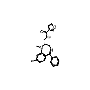 CN1c2cc(F)ccc2C(c2ccccc2)=NC[C@H]1CNC(=O)c1ccoc1